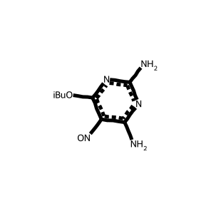 CC(C)COc1nc(N)nc(N)c1N=O